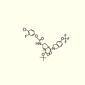 CC(C)(C)OC(=O)N1CC(NC(=O)COc2ccc(Cl)c(F)c2)CC[C@H]1C(=O)N1Cc2ccc(OC(F)(F)F)cc2C1